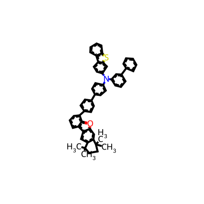 CC1(C)CCC(C)(C)c2cc3c(cc21)oc1c(-c2ccc(-c4ccc(N(c5cccc(-c6ccccc6)c5)c5ccc6c(c5)sc5ccccc56)cc4)cc2)cccc13